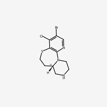 Clc1c(Br)cnc2c1SCC[C@H]1CNCCN21